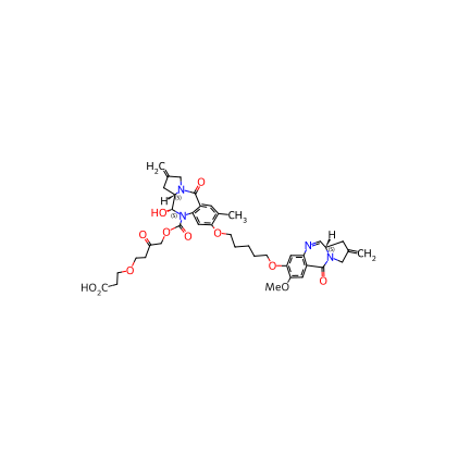 C=C1C[C@H]2C=Nc3cc(OCCCCCOc4cc5c(cc4C)C(=O)N4CC(=C)C[C@H]4[C@H](O)N5C(=O)OCC(=O)CCOCCC(=O)O)c(OC)cc3C(=O)N2C1